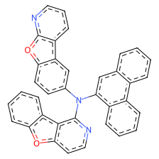 c1ccc2c(c1)cc(N(c1ccc3oc4ncccc4c3c1)c1nccc3oc4ccccc4c13)c1ccccc12